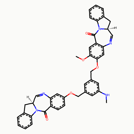 CNc1cc(COc2ccc3c(c2)N=C[C@@H]2Cc4ccccc4N2C3=O)cc(COc2cc3c(cc2OC)C(=O)N2c4ccccc4C[C@H]2C=N3)c1